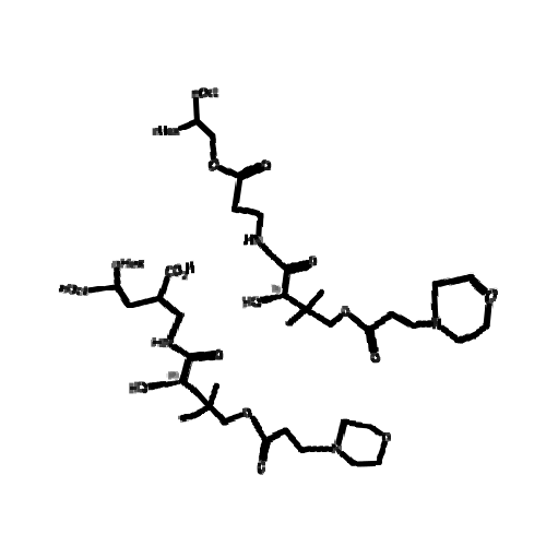 CCCCCCCCC(CCCCCC)CC(CNC(=O)[C@H](O)C(C)(C)COC(=O)CCN1CCOCC1)C(=O)O.CCCCCCCCC(CCCCCC)COC(=O)CCNC(=O)[C@H](O)C(C)(C)COC(=O)CCN1CCOCC1